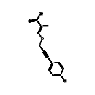 C/C(=N\OCC#Cc1ccc(Cl)cc1)C(=O)O